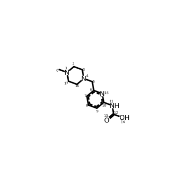 CN1CCN(Cc2cccc(NC(=O)O)n2)CC1